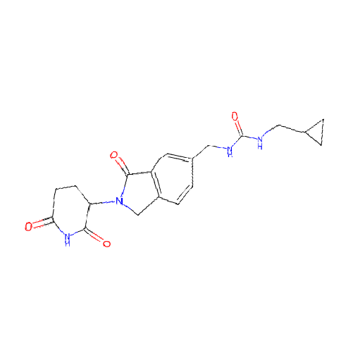 O=C1CCC(N2Cc3ccc(CNC(=O)NCC4CC4)cc3C2=O)C(=O)N1